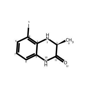 C[C@@H]1Nc2c(I)cccc2NC1=O